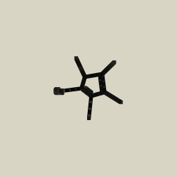 CC1=C(C)C(C)[C]([Os])=C1C